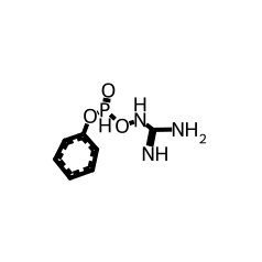 N=C(N)NO[PH](=O)Oc1ccccc1